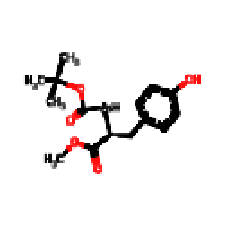 COC(=O)[C@H](Cc1ccc(O)cc1)[AsH]C(=O)OC(C)(C)C